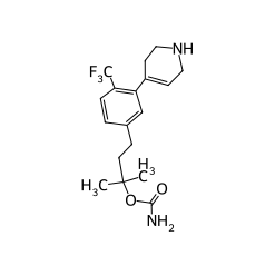 CC(C)(CCc1ccc(C(F)(F)F)c(C2=CCNCC2)c1)OC(N)=O